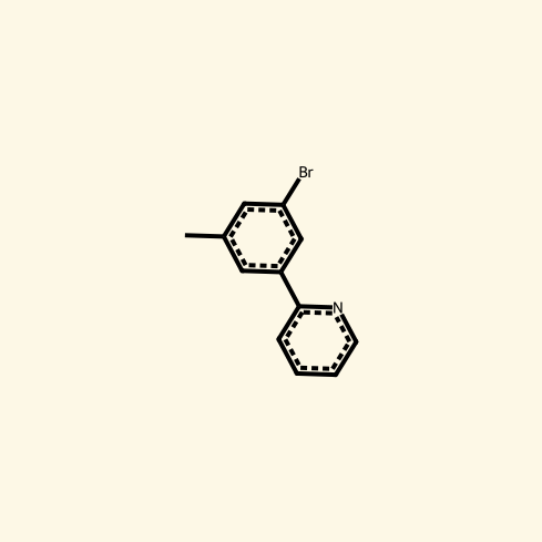 Cc1cc(Br)cc(-c2ccccn2)c1